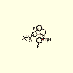 CNC(=O)N1CCc2ccccc2[C@@]1(c1ccc(F)cc1)C1CN(C(=O)OC(C)(C)C)CC1(F)F